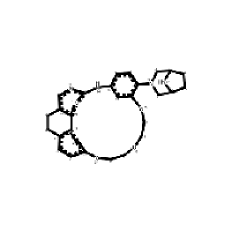 c1cc(N2CC3CCC(C2)N3)c2cc1Nc1ncc3c(n1)-c1cc(ccc1CC3)OCCOCCO2